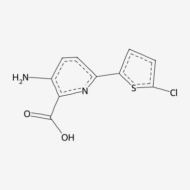 Nc1ccc(-c2ccc(Cl)s2)nc1C(=O)O